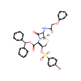 O=C(COc1ccccc1)NC1C(=O)N2C(C(=O)OC(c3ccccc3)c3ccccc3)=C(OS(=O)(=O)c3ccc(Br)cc3)CS[C@H]12